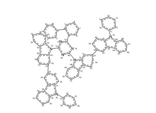 c1ccc(-c2ccccc2-c2nc(-n3c4ccccc4c4ccc(-c5ccc6c(c5)c5ccccc5n6-c5ccccc5)cc43)nc(-n3c4ccccc4c4ccc(-c5ccc6c(c5)c5ccccc5n6-c5ccccc5)cc43)n2)cc1